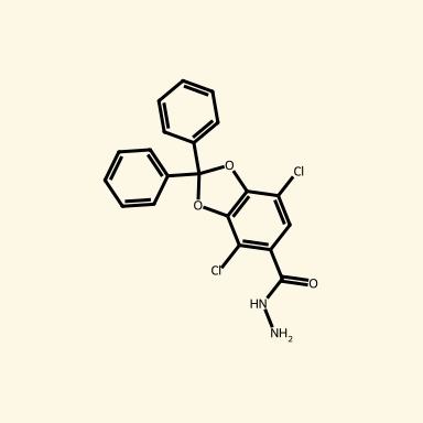 NNC(=O)c1cc(Cl)c2c(c1Cl)OC(c1ccccc1)(c1ccccc1)O2